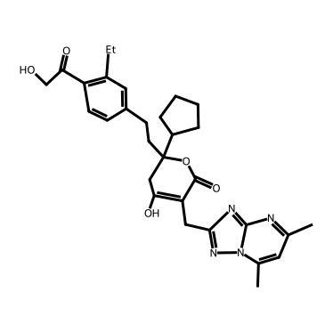 CCc1cc(CCC2(C3CCCC3)CC(O)=C(Cc3nc4nc(C)cc(C)n4n3)C(=O)O2)ccc1C(=O)CO